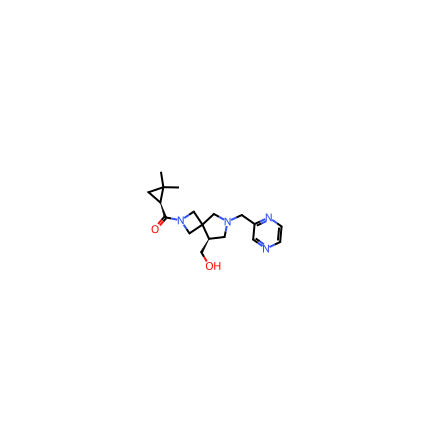 CC1(C)C[C@@H]1C(=O)N1CC2(CN(Cc3cnccn3)C[C@H]2CO)C1